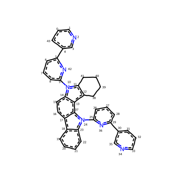 c1cncc(-c2cccc(-n3c4c(c5c3ccc3c6ccccc6n(-c6cccc(-c7cccnc7)n6)c35)CCCC4)n2)c1